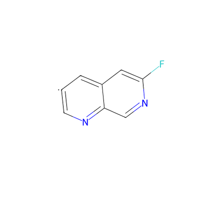 Fc1cc2c[c]cnc2cn1